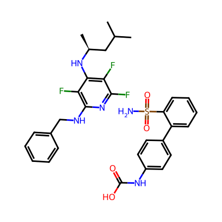 CC(C)C[C@H](C)Nc1c(F)c(F)nc(NCc2ccccc2)c1F.NS(=O)(=O)c1ccccc1-c1ccc(NC(=O)O)cc1